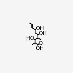 C/C=C/C(O)CC(O)C(C)C(O)C(C)C(=O)O